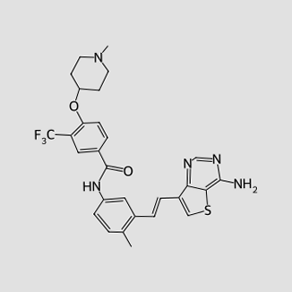 Cc1ccc(NC(=O)c2ccc(OC3CCN(C)CC3)c(C(F)(F)F)c2)cc1C=Cc1csc2c(N)ncnc12